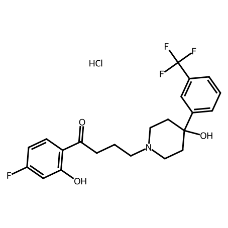 Cl.O=C(CCCN1CCC(O)(c2cccc(C(F)(F)F)c2)CC1)c1ccc(F)cc1O